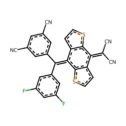 N#CC(C#N)=c1c2ccsc2/c(=C(\c2cc(F)cc(F)c2)c2cc(C#N)cc(C#N)c2)c2ccsc12